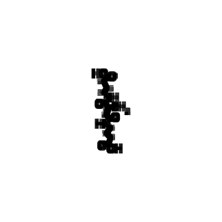 B/C(=C\C(=O)NCCCC(=O)O)C(=O)NCCCC(=O)O